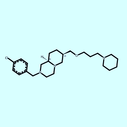 Clc1ccc(CN2CCN3C[C@H](COCCCN4CCCCC4)CC[C@@H]3C2)cc1